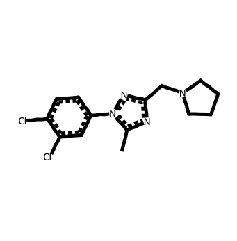 Cc1nc(CN2CCCC2)nn1-c1ccc(Cl)c(Cl)c1